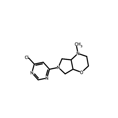 CN1CCOC2CN(c3cc(Cl)ncn3)CC21